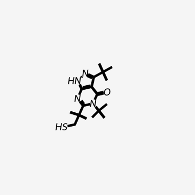 CC(C)(C)c1n[nH]c2nc(C(C)(C)CS)n(C(C)(C)C)c(=O)c12